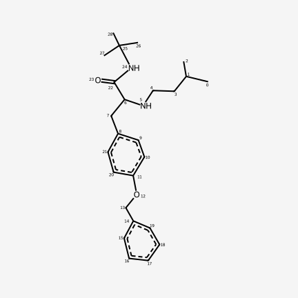 CC(C)CCNC(Cc1ccc(OCc2ccccc2)cc1)C(=O)NC(C)(C)C